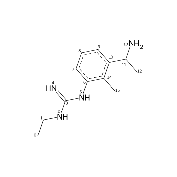 CCNC(=N)Nc1cccc(C(C)N)c1C